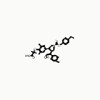 CCc1ccc(OC(=O)N2CC(/C(=C/O)c3ccc(C)cc3)C(c3cc(C)c(OC(C)(C)C(=O)O)c(C)c3)C2)cc1